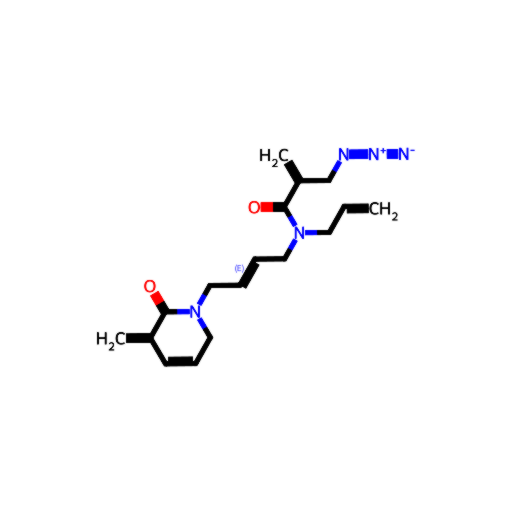 C=CCN(C/C=C/CN1CC=CC(=C)C1=O)C(=O)C(=C)CN=[N+]=[N-]